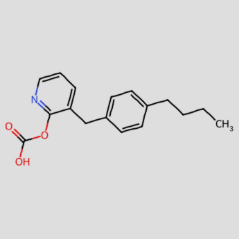 CCCCc1ccc(Cc2cccnc2OC(=O)O)cc1